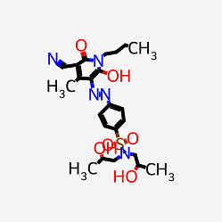 CCCCn1c(O)c(N=Nc2ccc(S(=O)(=O)N(CC(C)O)CC(C)O)cc2)c(C)c(C#N)c1=O